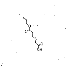 C=CCOC(=O)CCSCC(=O)O